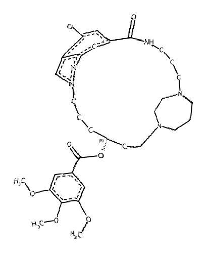 COc1cc(C(=O)O[C@@H]2CCCn3cc4c(Cl)cc(cc4n3)C(=O)NCCCN3CCCN(CC2)CC3)cc(OC)c1OC